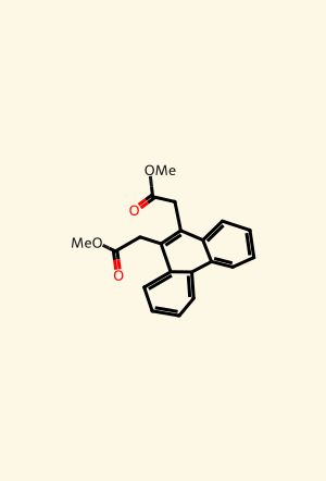 COC(=O)Cc1c(CC(=O)OC)c2ccccc2c2ccccc12